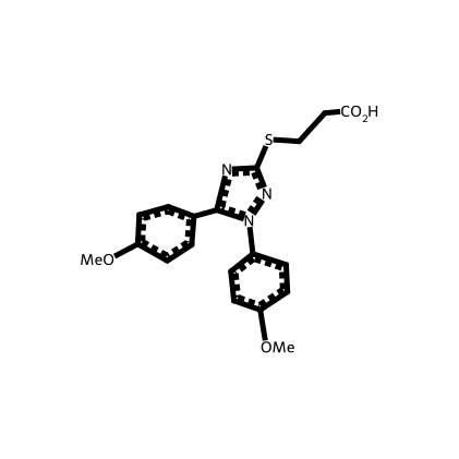 COc1ccc(-c2nc(SCCC(=O)O)nn2-c2ccc(OC)cc2)cc1